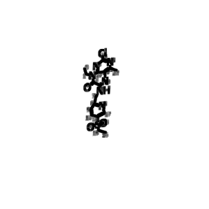 CCn1c(=O)c(NCc2ccc(S(=O)(=O)CC)cn2)nc2c(C)nc(Cl)nc21